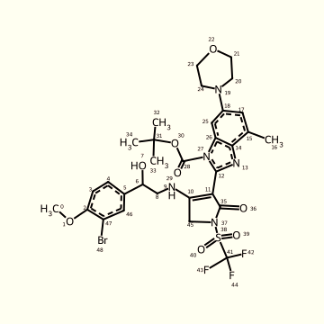 COc1ccc(C(O)CNC2=C(c3nc4c(C)cc(N5CCOCC5)cc4n3C(=O)OC(C)(C)C)C(=O)N(S(=O)(=O)C(F)(F)F)C2)cc1Br